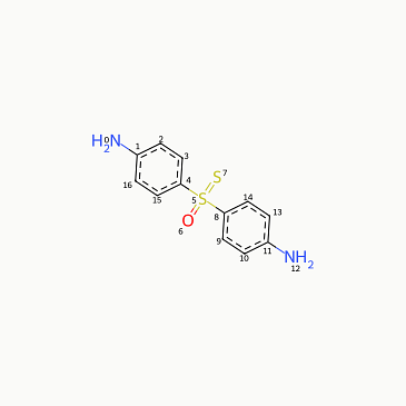 Nc1ccc(S(=O)(=S)c2ccc(N)cc2)cc1